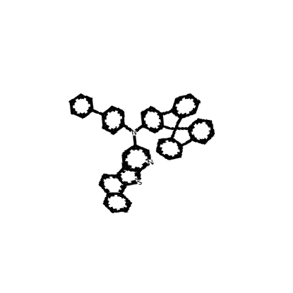 c1ccc(-c2ccc(N(c3ccc4c(c3)C3(c5ccccc5-c5ccccc53)c3ccccc3-4)c3cnc4sc5c6ccccc6ccc5c4c3)cc2)cc1